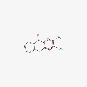 Cc1cc2c(cc1C)C1(Br)c3ccccc3C2c2ccccc21